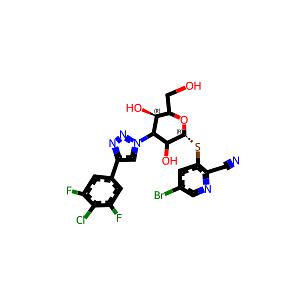 N#Cc1ncc(Br)cc1S[C@H]1OC(CO)[C@H](O)C(n2cc(-c3cc(F)c(Cl)c(F)c3)nn2)C1O